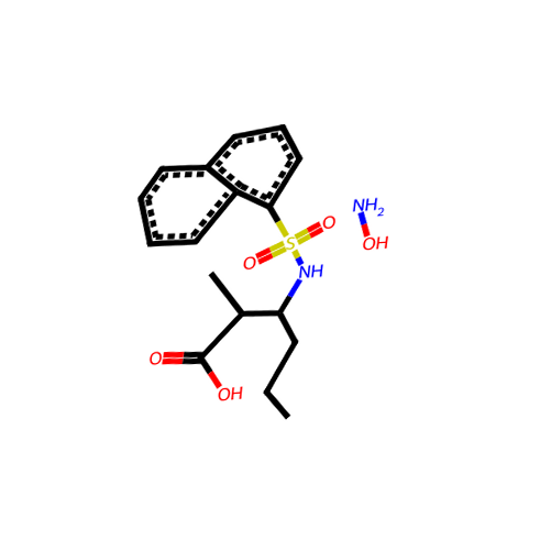 CCCC(NS(=O)(=O)c1cccc2ccccc12)C(C)C(=O)O.NO